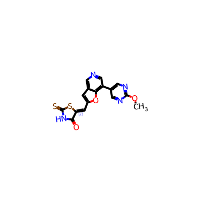 COc1ncc(-c2cncc3cc(/C=C4\SC(=S)NC4=O)oc23)cn1